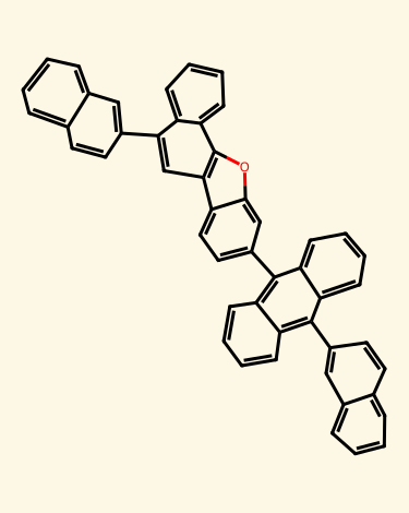 c1ccc2cc(-c3c4ccccc4c(-c4ccc5c(c4)oc4c6ccccc6c(-c6ccc7ccccc7c6)cc54)c4ccccc34)ccc2c1